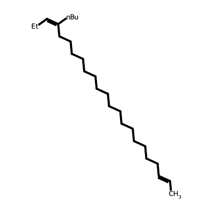 CC=CCCCCCCCCCCCCCCCCC(=CCC)CCCC